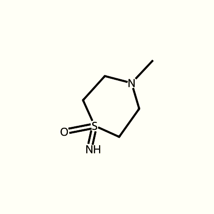 CN1CCS(=N)(=O)CC1